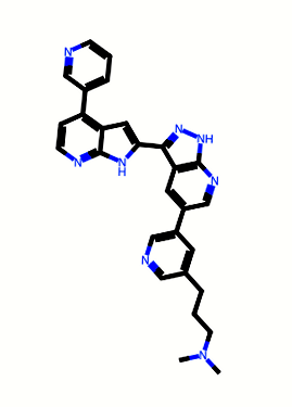 CN(C)CCCc1cncc(-c2cnc3[nH]nc(-c4cc5c(-c6cccnc6)ccnc5[nH]4)c3c2)c1